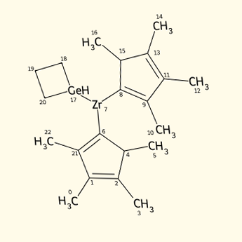 CC1=C(C)C(C)[C]([Zr]([C]2=C(C)C(C)=C(C)C2C)[GeH]2[CH2]C[CH2]2)=C1C